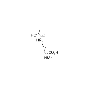 CN[C@@H](CCCCNC(=O)[C@H](C)O)C(=O)O